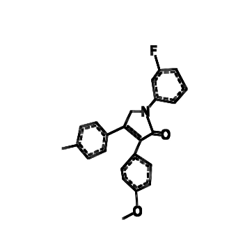 COc1ccc(C2=C(c3ccc(C)cc3)CN(c3cccc(F)c3)C2=O)cc1